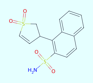 NS(=O)(=O)c1ccc2ccccc2c1C1C=CS(=O)(=O)C1